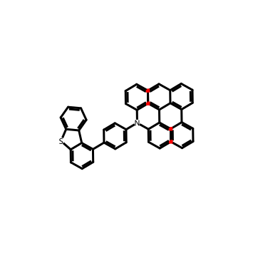 c1ccc(-c2cccc3cccc(-c4ccccc4N(c4ccccc4)c4ccc(-c5cccc6sc7ccccc7c56)cc4)c23)cc1